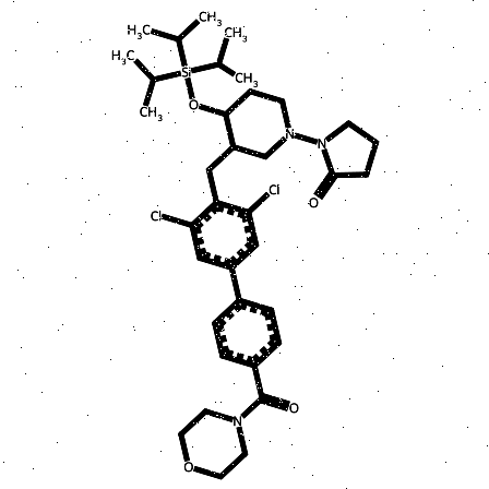 CC(C)[Si](OC1CCN(N2CCCC2=O)CC1Cc1c(Cl)cc(-c2ccc(C(=O)N3CCOCC3)cc2)cc1Cl)(C(C)C)C(C)C